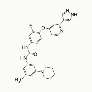 Cc1cc(NC(=O)Nc2ccc(Oc3ccnc(-c4cn[nH]c4)c3)c(F)c2)cc(N2CCCCC2)c1